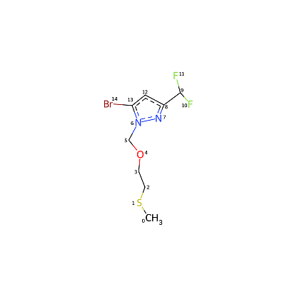 CSCCOCn1nc(C(F)F)cc1Br